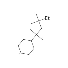 CCC(C)(C)CC(C)(C)C1CC[CH]CC1